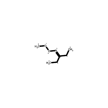 CCC(CC)=NOOC